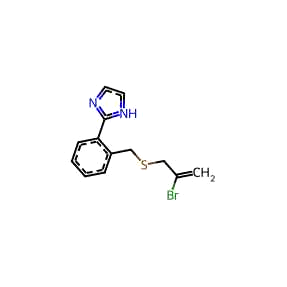 C=C(Br)CSCc1ccccc1-c1ncc[nH]1